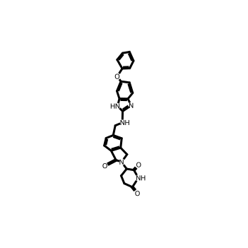 O=C1CCC(N2Cc3cc(CNc4nc5ccc(Oc6ccccc6)cc5[nH]4)ccc3C2=O)C(=O)N1